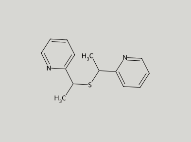 CC(SC(C)c1ccccn1)c1ccccn1